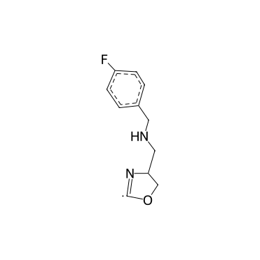 Fc1ccc(CNCC2CO[C]=N2)cc1